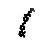 COCC(=O)N[C@H]1CC[C@H](CCN2CCN(c3cccc(F)c3F)CC2)CC1